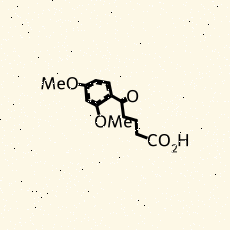 COc1ccc(C(=O)CCCC(=O)O)c(OC)c1